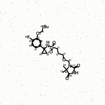 CC(C)(C)COc1cc(C2(NS(=O)(=O)CCCOCN3C(=O)NC(=O)C3(C)C)CC2)ccc1F